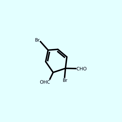 O=CC1C=C(Br)C=CC1(Br)C=O